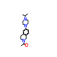 CC(=O)N1CCc2cc(N3CCN(C(C)C)CC3)ccc2C1